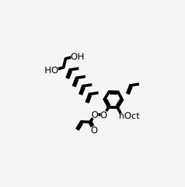 C=CC.C=CC.C=CC.C=CC.C=CC.C=CC(=O)OOc1ccccc1CCCCCCCC.OCCO